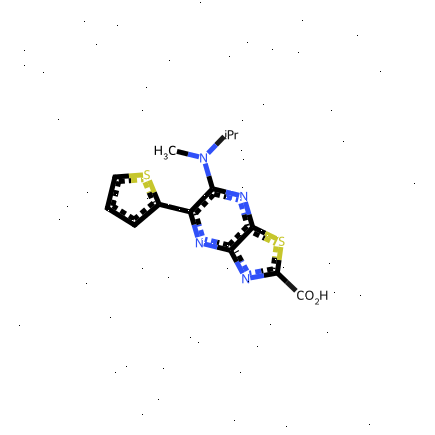 CC(C)N(C)c1nc2sc(C(=O)O)nc2nc1-c1cccs1